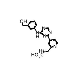 O=C(O)NCc1cc(-c2ncnc(Nc3cccc(CO)c3)n2)ccn1